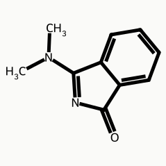 CN(C)C1=NC(=O)c2ccccc21